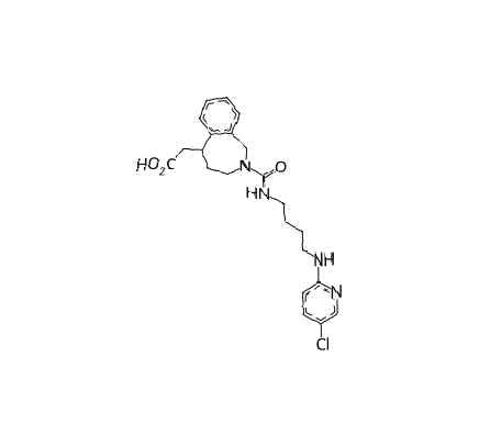 O=C(O)CC1CCN(C(=O)NCCCCNc2ccc(Cl)cn2)Cc2ccccc21